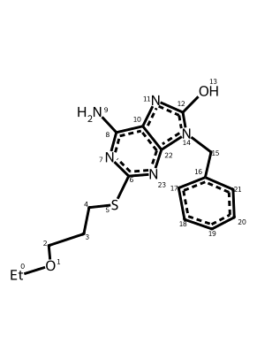 CCOCCCSc1nc(N)c2nc(O)n(Cc3ccccc3)c2n1